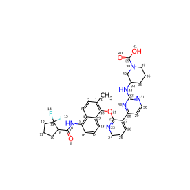 Cc1ccc2c(NC(=O)C3CCCC3(F)F)cccc2c1Oc1ncccc1-c1ccnc(NC2CCCN(C(=O)O)C2)n1